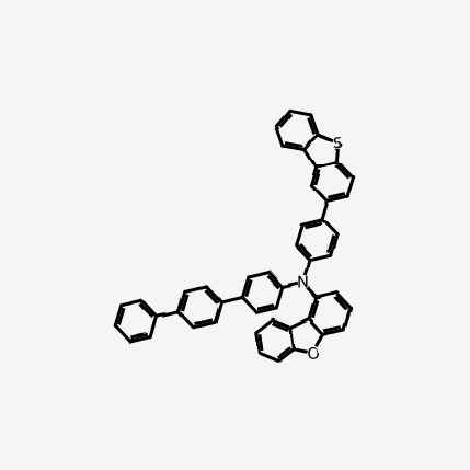 c1ccc(-c2ccc(-c3ccc(N(c4ccc(-c5ccc6sc7ccccc7c6c5)cc4)c4cccc5oc6ccccc6c45)cc3)cc2)cc1